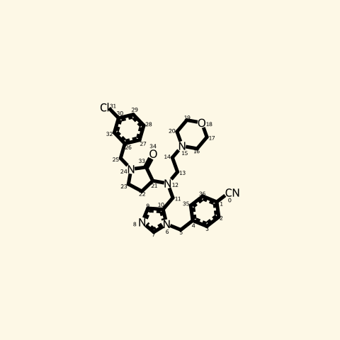 N#Cc1ccc(Cn2cncc2CN(CCN2CCOCC2)C2CCN(Cc3cccc(Cl)c3)C2=O)cc1